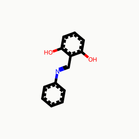 Oc1cccc(O)c1C=Nc1ccccc1